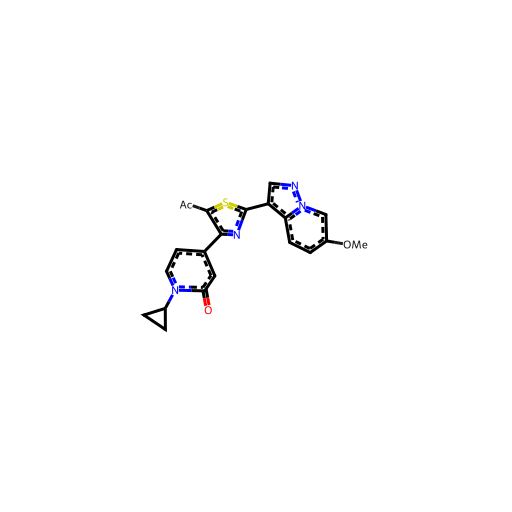 COc1ccc2c(-c3nc(-c4ccn(C5CC5)c(=O)c4)c(C(C)=O)s3)cnn2c1